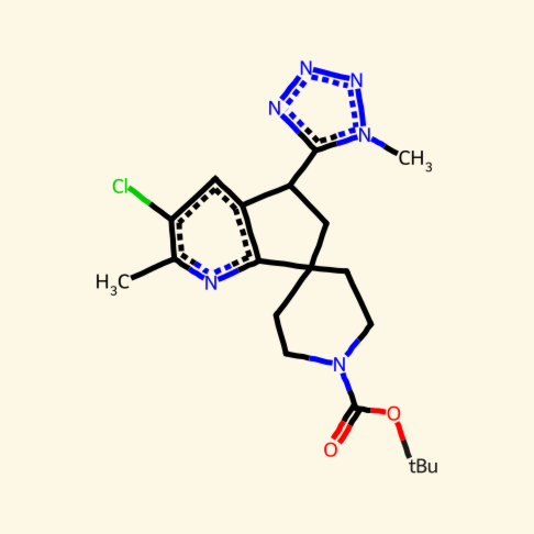 Cc1nc2c(cc1Cl)C(c1nnnn1C)CC21CCN(C(=O)OC(C)(C)C)CC1